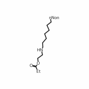 CCCCCCCCCCCCCCCCNCCOC(=O)CC